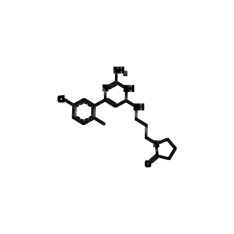 Cc1ccc(Cl)cc1C1=CC(NCCCN2CCCC2=O)NC(N)=N1